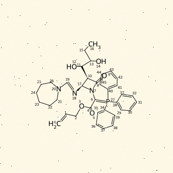 C=CCOC(=O)C(N1C(=O)[C@H](C(O)C(O)CC)[C@@H]1N=CN1CCCCCC1)=P(c1ccccc1)(c1ccccc1)c1ccccc1